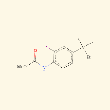 CCC(C)(C)c1ccc(NC(=O)OC)c(I)c1